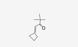 CC(C)(C)C(=O)C=C1CCC1